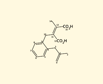 C=C(C)Cc1ccccc1C/C(C(=O)O)=C(\C)C(=O)O